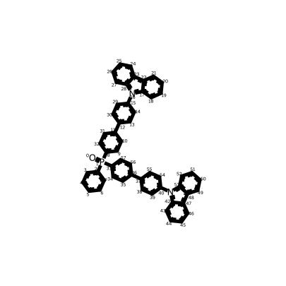 O=P(c1ccccc1)(c1ccc(-c2ccc(-n3c4ccccc4c4ccccc43)cc2)cc1)c1ccc(-c2ccc(-n3c4ccccc4c4ccccc43)cc2)cc1